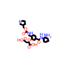 Nc1ccccc1NC(=O)c1ccc(CNC(=O)OCc2cccnc2)cc1.O=C(O)CC(O)C(=O)O